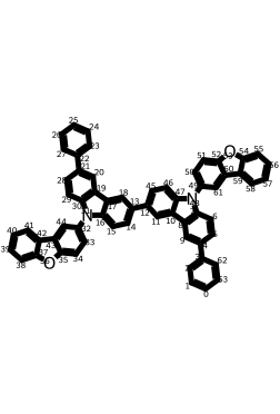 c1ccc(-c2ccc3c(c2)c2cc(-c4ccc5c(c4)c4cc(-c6ccccc6)ccc4n5-c4ccc5oc6ccccc6c5c4)ccc2n3-c2ccc3oc4ccccc4c3c2)cc1